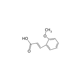 COc1cc[c]cc1C=CC(=O)O